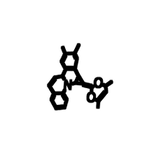 CC1=CC(C)O/C(=C2\C3c4cc(C)c(C)cc4C4C=Cc5ccccc5N4C23)O1